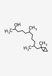 CC(O)CCCC(C)CCCC(C)CC1(C)C2CC21